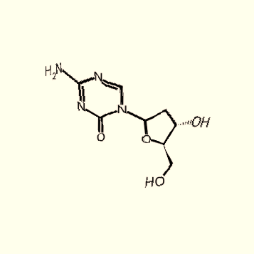 Nc1ncn(C2C[C@H](O)[C@@H](CO)O2)c(=O)n1